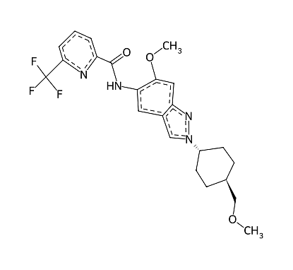 COC[C@H]1CC[C@H](n2cc3cc(NC(=O)c4cccc(C(F)(F)F)n4)c(OC)cc3n2)CC1